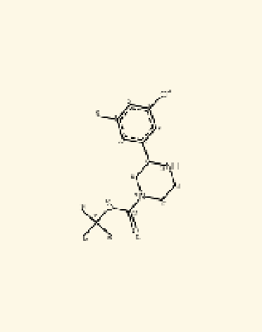 Cc1cc(Cl)cc(C2CN(C(=O)OC(C)(C)C)CCN2)c1